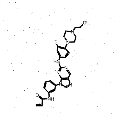 C=CC(=O)Nc1cccc(-n2cnc3cnc(Nc4ccc(N5CCN(CCO)CC5)c(F)c4)nc32)c1